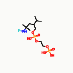 CC(C)C(COP(=O)(O)OCCOP(=O)(O)O)CC(C)(C)NF